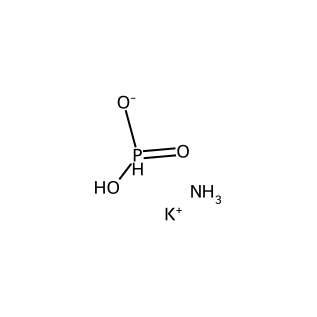 N.O=[PH]([O-])O.[K+]